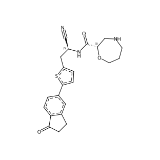 N#C[C@H](Cc1ccc(-c2ccc3c(c2)CCC3=O)s1)NC(=O)[C@@H]1CNCCCO1